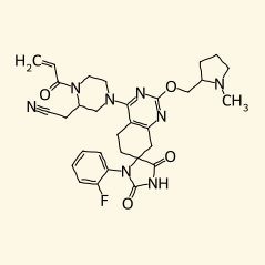 C=CC(=O)N1CCN(c2nc(OCC3CCCN3C)nc3c2CCC2(C3)C(=O)NC(=O)N2c2ccccc2F)CC1CC#N